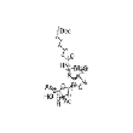 CCCCCCCCCCCCCCCC(=O)Nc1nc2c(ncn2[C@H]2C[C@@](O)(C(C)=O)[C@@H](C(O)C(C)=O)O2)c(=O)[nH]1